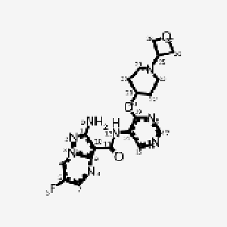 Nc1nn2cc(F)cnc2c1C(=O)Nc1cncnc1OC1CCN(C2COC2)CC1